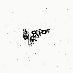 CN(C)c1ccc2c(c1)CCN(c1cccc(-c3cc(Nc4ccn(CS(C)(=O)=O)n4)c(=O)n(C)c3)c1CO)C2=O